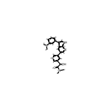 CN(C)C(=O)C(O)c1cncc(-c2cnc3[nH]cc(-c4cccc(N(C)C)c4)c3c2)c1